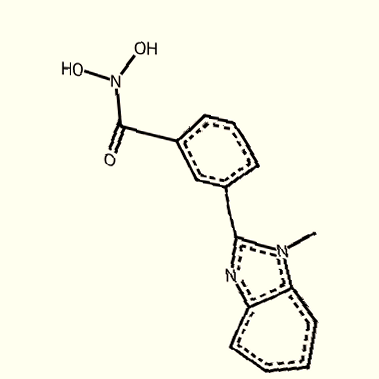 Cn1c(-c2cccc(C(=O)N(O)O)c2)nc2ccccc21